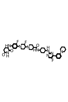 O=C1CCC(Nc2ccc(N3CCC(N4CCC(C(=O)NC5CCC(Nc6ncc(F)c(-c7cccc(N8CCCCC8)c7)n6)CC5)CC4)C(F)C3)c(F)c2)C(=O)N1